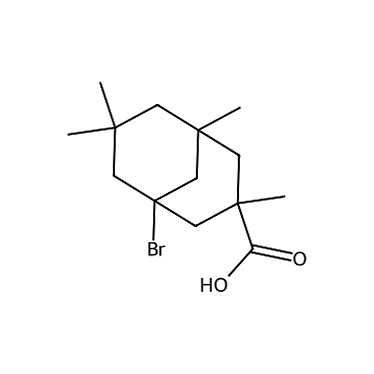 CC1(C)CC2(C)CC(Br)(C1)CC(C)(C(=O)O)C2